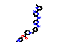 Cc1cccc(-c2nccc(Nc3ccnc(Nc4ccc(CN5CCC[C@H](C(=O)O[C@H]6CCN(C)C6)C5)cc4)n3)n2)n1